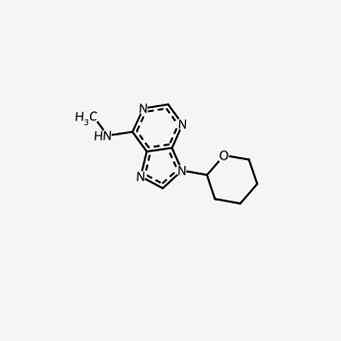 CNc1ncnc2c1ncn2C1CCCCO1